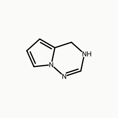 C1=Nn2cccc2CN1